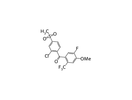 COc1cc(C(F)(F)F)c(C(=O)c2ccc(S(C)(=O)=O)cc2Cl)cc1F